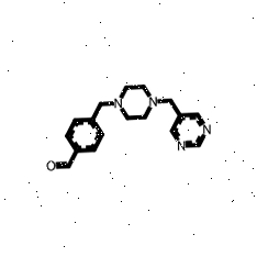 O=Cc1ccc(CN2CCN(Cc3cncnc3)CC2)cc1